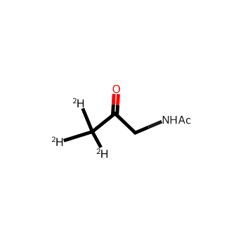 [2H]C([2H])([2H])C(=O)CNC(C)=O